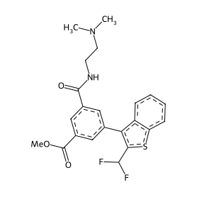 COC(=O)c1cc(C(=O)NCCN(C)C)cc(-c2c(C(F)F)sc3ccccc23)c1